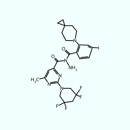 Cc1cc(C(=O)N(N)C(=O)c2ccc(I)cc2N2CCC3(CC2)CC3)nc(N2CC(F)(F)CC(F)(F)C2)n1